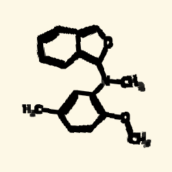 COc1ccc(C)cc1N(C)c1occ2ccccc12